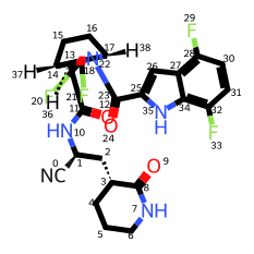 N#C[C@H](C[C@H]1CCCNC1=O)NC(=O)[C@H]1[C@@H]2CC[C@@H](CC2(F)F)N1C(=O)c1cc2c(F)ccc(F)c2[nH]1